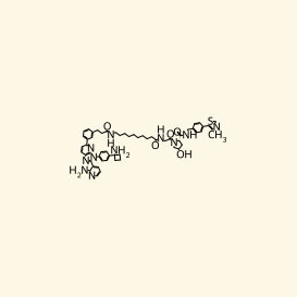 Cc1ncsc1-c1ccc(CNC(=O)[C@@H]2C[C@@H](O)CN2C(=O)CNC(=O)CCCCCCCCCNC(=O)CCc2cccc(-c3ccc4nc(-c5cccnc5N)n(-c5ccc(C6(N)CCC6)cc5)c4n3)c2)cc1